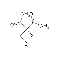 NC(=O)C1(C(N)=O)CNC1